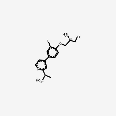 CC(C)C[C@H](N)COc1ccc(-c2ccnc(N(C)C(=O)O)c2)cc1F